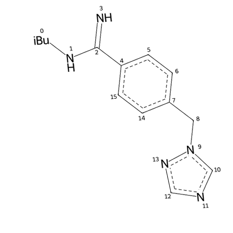 CCC(C)NC(=N)c1ccc(Cn2cncn2)cc1